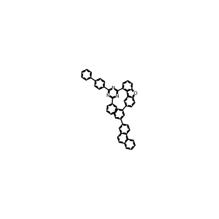 c1ccc(-c2ccc(-c3nc(-c4ccccc4)nc(-c4cccc5oc6ccc(-c7cccc(-c8ccc9c(ccc%10ccccc%109)c8)c7)cc6c45)n3)cc2)cc1